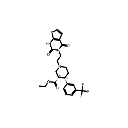 CCOC(=O)[C@@H]1CN(CCn2c(=O)[nH]c3sccc3c2=O)CC[C@@H]1c1cccc(C(F)(F)F)c1